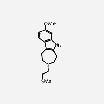 COc1ccc2c3c([nH]c2c1)CCN(CCSC)CC3